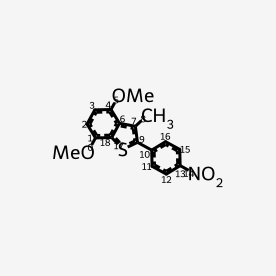 COc1ccc(OC)c2c(C)c(-c3ccc([N+](=O)[O-])cc3)sc12